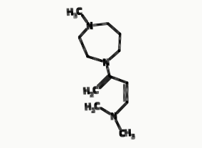 C=C(/C=C\N(C)C)N1CCCN(C)CC1